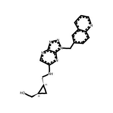 OC[C@@H]1C[C@H]1CNc1cnc2nnn(Cc3ccc4ncccc4c3)c2n1